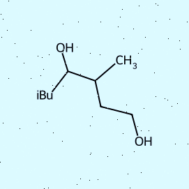 CCC(C)C(O)C(C)CCO